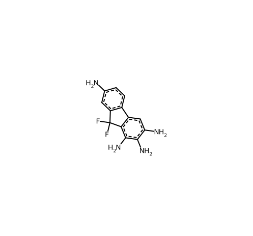 Nc1ccc2c(c1)C(F)(F)c1c-2cc(N)c(N)c1N